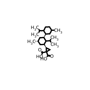 CC1CCC(C(C)C)C([C@@H]2C[C@@H](C)CC([C@H]3CC3(C(=O)O)C(=O)O)C2C(C)C)C1